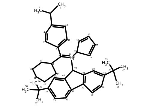 CC(C)c1ccc([C](C2CCCCC2)=[Hf]([CH]2C=CC=C2)[CH]2c3cc(C(C)(C)C)ccc3-c3ccc(C(C)(C)C)cc32)cc1